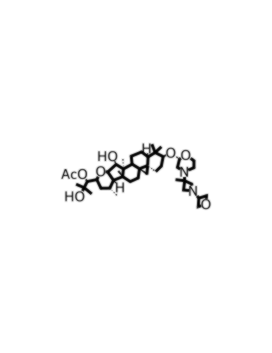 CC(=O)O[C@@H](C1C[C@@H](C)[C@H]2C(O1)[C@H](O)[C@@]1(C)C3CC[C@H]4C(C)(C)[C@@H](O[C@H]5CN(C6(C)CN(C7COC7)C6)CCO5)CC[C@@]45C[C@@]35CC[C@]21C)C(C)(C)O